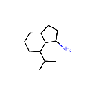 CC(C)C1CCCC2CCC(N)C21